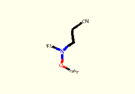 CCCON(CC)CCC#N